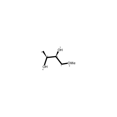 COC[C@H](O)[C@H](C)O